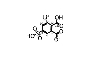 O=C([O-])c1cc(S(=O)(=O)O)ccc1C(=O)O.[Li+]